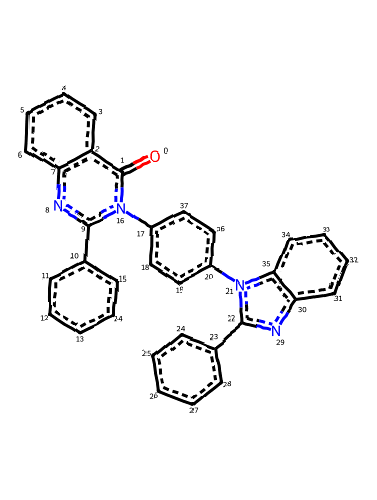 O=c1c2ccccc2nc(-c2ccccc2)n1-c1ccc(-n2c(-c3ccccc3)nc3ccccc32)cc1